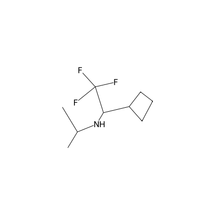 CC(C)NC(C1CCC1)C(F)(F)F